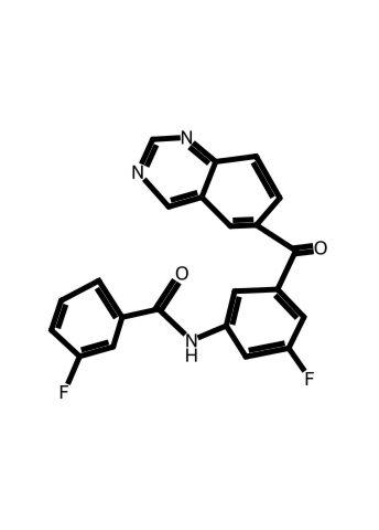 O=C(Nc1cc(F)cc(C(=O)c2ccc3ncncc3c2)c1)c1cccc(F)c1